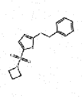 O=S(=O)(c1ccc(SCc2ccccc2)s1)N1CCC1